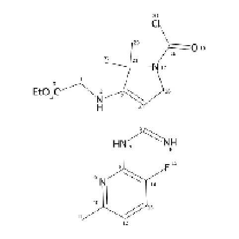 CCOC(=O)CNC1=C(C(=N)Nc2nc(C)ccc2F)CN(C(=O)Cl)C1(C)C